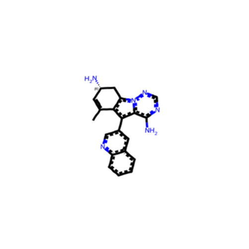 CC1=C[C@H](N)Cc2c1c(-c1cnc3ccccc3c1)c1c(N)ncnn21